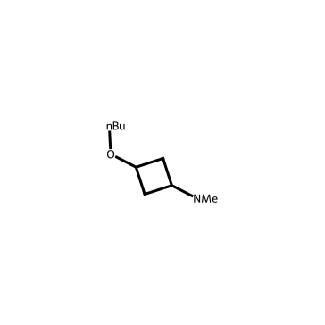 CCCCOC1CC(NC)C1